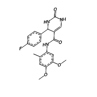 COc1cc(C)c(NC(=O)C2=CNC(=O)NC2c2ccc(F)cc2)cc1OC